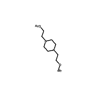 CCCOCCN1CCN(CCOC(C)=O)CC1